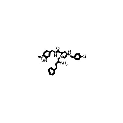 Cn1nnc2cc(CNC(=O)C3CC(NCc4ccc(Cl)cc4)CN3CC(N)CCc3ccccc3)ccc21